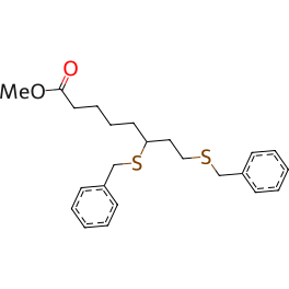 COC(=O)CCCCC(CCSCc1ccccc1)SCc1ccccc1